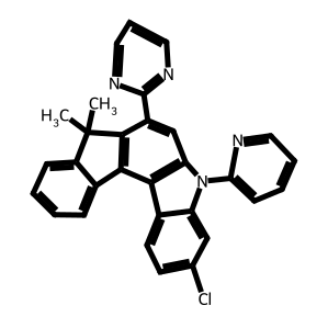 CC1(C)c2ccccc2-c2c1c(-c1ncccn1)cc1c2c2ccc(Cl)cc2n1-c1ccccn1